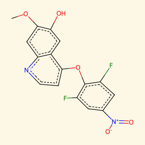 COc1cc2nccc(Oc3c(F)cc([N+](=O)[O-])cc3F)c2cc1O